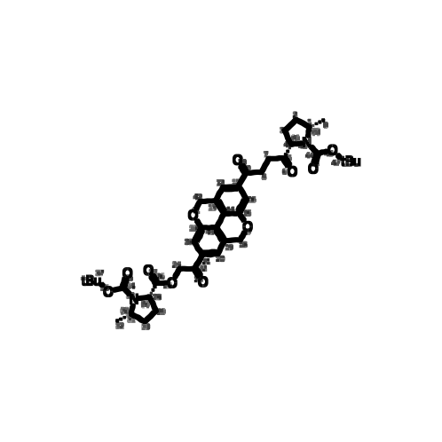 C[C@H]1CC[C@@H](C(=O)CCC(=O)c2cc3c4c(c2)OCc2cc(C(=O)COC(=O)[C@@H]5CC[C@H](C)N5C(=O)OC(C)(C)C)cc(c2-4)OC3)N1C(=O)OC(C)(C)C